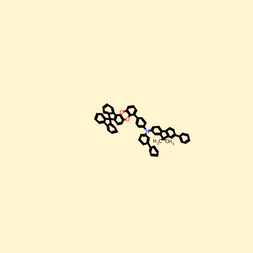 CC1(C)c2cc(-c3ccccc3)ccc2-c2ccc(N(c3ccc(-c4cccc5c4Oc4ccc6c(c4O5)-c4ccccc4C64c5ccccc5-c5ccccc54)cc3)c3cccc(-c4ccccc4)c3)cc21